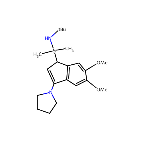 COc1cc2c(cc1OC)C([Si](C)(C)NC(C)(C)C)C=C2N1CCCC1